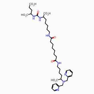 O=C(O)CCC(NC(=O)NC(CCCCCNC(=O)CCCCCCC(=O)NCCCCC(C(=O)O)N(Cc1ccccn1)Cc1ccccn1)C(=O)O)C(=O)O